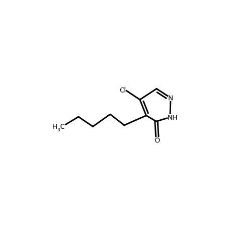 CCCCCc1c(Cl)cn[nH]c1=O